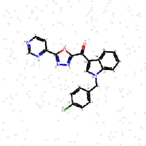 O=C(c1nnc(-c2ccncn2)o1)c1cn(Cc2ccc(Cl)cc2)c2ccccc12